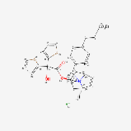 CCOC(=O)CCc1ccc(C[N+]2(C)[C@@H]3C=C[C@H]2C[C@@H](OC(=O)C(O)(c2cccs2)c2cccs2)C3)cc1.[Br-]